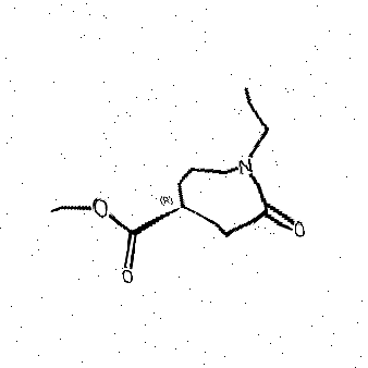 CCN1C[C@H](C(=O)OC)CC1=O